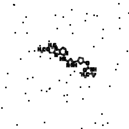 COCc1nc2c(Nc3cc([C@H]4CC[C@@H](OC(=O)NC5(C)CC5)C4)[nH]n3)nccc2n1C